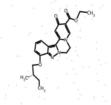 CCOC(=O)c1cn2c(cc1=O)-c1c3cccc(OC[C@@H](C)CC)c3nn1CC2